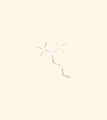 C=C[SiH2]CN([Si](C)(C)C)[Si](C)(C)C